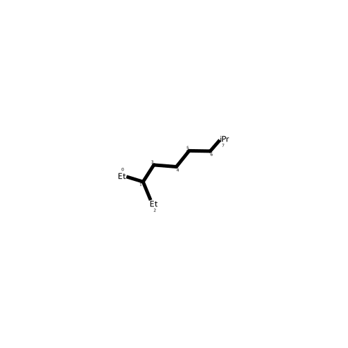 CCC(CC)CC[CH]CC(C)C